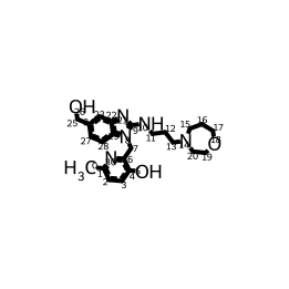 Cc1ccc(O)c(Cn2c(NCCCN3CCCOCC3)nc3cc(CO)ccc32)n1